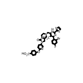 CCOC(=O)C1=C(CN2CCN3C(=O)N(c4ccc(Oc5ccc(C(=O)O)cc5)nc4)CC3C2)NC(c2nccs2)=NC1c1ccc(F)cc1Br